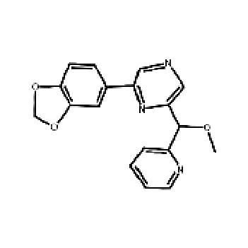 COC(c1ccccn1)c1cncc(-c2ccc3c(c2)OCO3)n1